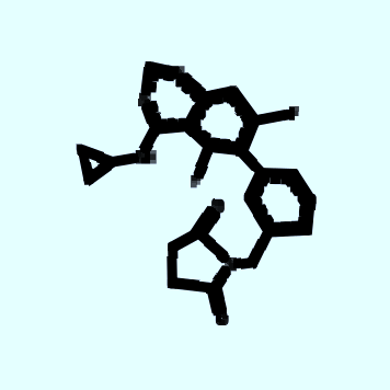 O=C1CCC(=O)N1Cc1cccc(-c2c(F)cc3ncnc(NC4CC4)c3c2F)c1